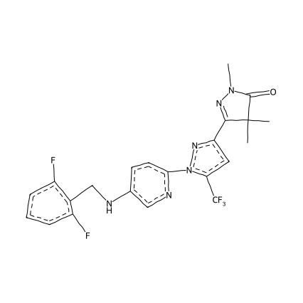 CN1N=C(c2cc(C(F)(F)F)n(-c3ccc(NCc4c(F)cccc4F)cn3)n2)C(C)(C)C1=O